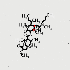 CCCCN(C)C(=O)CC(OC)C(C(C)CC)N(C)C(=O)[C@@H](NC(=O)C(C(C)C)N(C)N1C(=O)CC(SC)C1=O)C(C)C